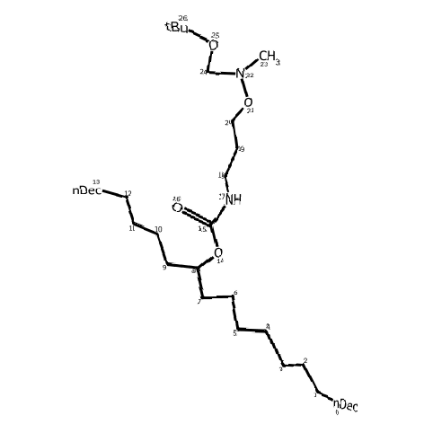 CCCCCCCCCCCCCCCCCC(CCCCCCCCCCCCCC)OC(=O)NCCCON(C)COC(C)(C)C